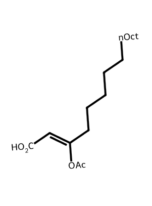 CCCCCCCCCCCCCC(=CC(=O)O)OC(C)=O